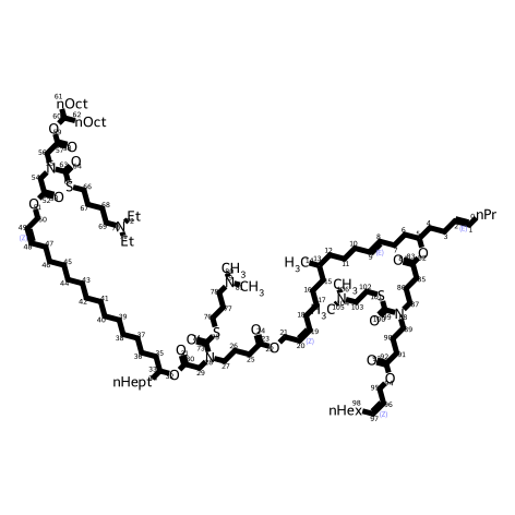 CCC/C=C/CCC(CC/C=C/CCCC(C)CCCC/C=C\COC(=O)CCCN(CC(=O)OC(CCCCCCC)CCCCCCCCCCCCC/C=C\COC(=O)CN(CC(=O)OC(CCCCCCCC)CCCCCCCC)C(=O)SCCCCN(CC)CC)C(=O)SCCCN(C)C)OC(=O)CCCN(CCCC(=O)OC/C=C\CCCCCC)C(=O)SCCN(C)C